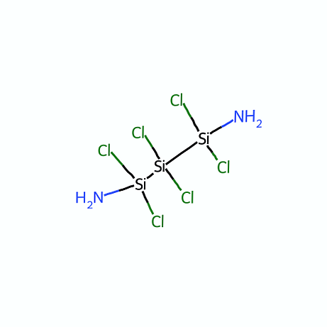 N[Si](Cl)(Cl)[Si](Cl)(Cl)[Si](N)(Cl)Cl